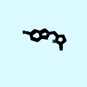 O=C1CCC(Cn2cc3cc(Br)ccc3n2)N1